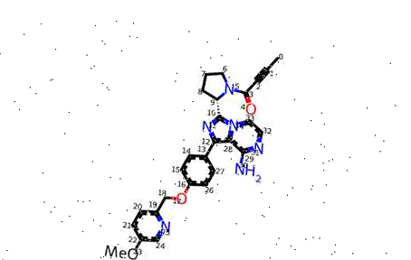 CC#CC(=O)N1CCC[C@H]1c1nc(-c2ccc(OCc3ccc(OC)cn3)cc2)c2c(N)nccn12